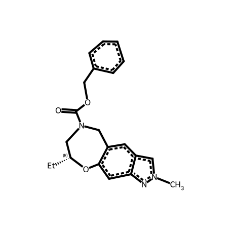 CC[C@@H]1CN(C(=O)OCc2ccccc2)Cc2cc3cn(C)nc3cc2O1